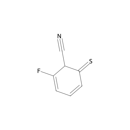 N#CC1C(=S)C=CC=C1F